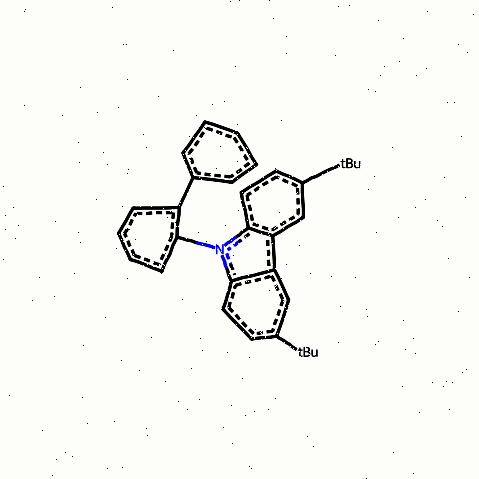 CC(C)(C)c1ccc2c(c1)c1cc(C(C)(C)C)ccc1n2-c1ccccc1-c1ccccc1